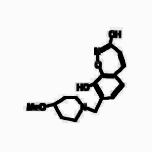 COC1CCN(Cc2ccc3c(c2O)ON=C(O)C=C3)CC1